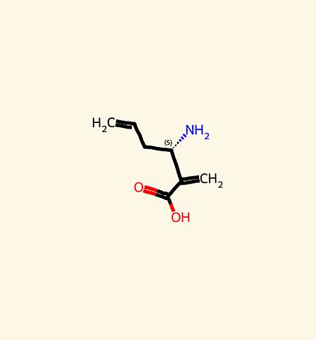 C=CC[C@H](N)C(=C)C(=O)O